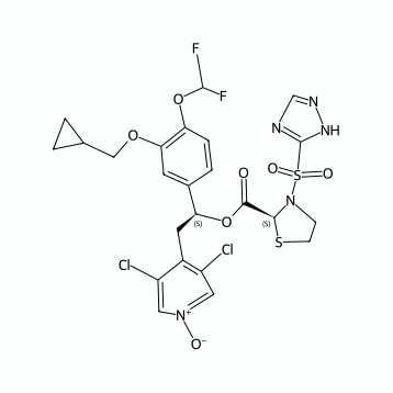 O=C(O[C@@H](Cc1c(Cl)c[n+]([O-])cc1Cl)c1ccc(OC(F)F)c(OCC2CC2)c1)[C@@H]1SCCN1S(=O)(=O)c1ncn[nH]1